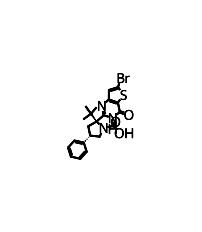 CC(C)(C)[C@]1(c2nc3cc(Br)sc3c(=O)[nH]2)C[C@@H](c2ccccc2)CN1C(=O)O